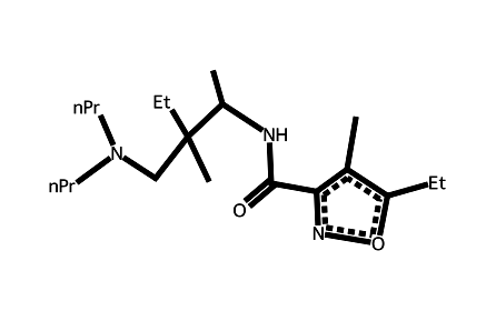 CCCN(CCC)CC(C)(CC)C(C)NC(=O)c1noc(CC)c1C